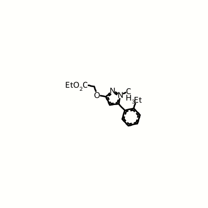 CCOC(=O)COc1cc(-c2ccccc2CC)n(C)n1